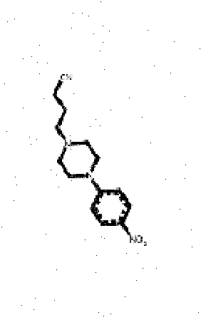 N#CCCCN1CCN(c2ccc([N+](=O)[O-])cc2)CC1